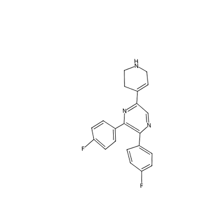 Fc1ccc(-c2ncc(C3=CCNCC3)nc2-c2ccc(F)cc2)cc1